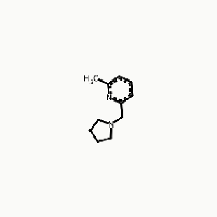 Cc1cccc(CN2CCCC2)n1